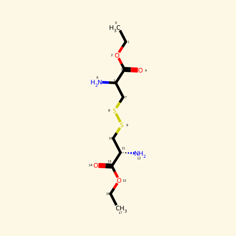 CCOC(=O)C(N)CSSC[C@H](N)C(=O)OCC